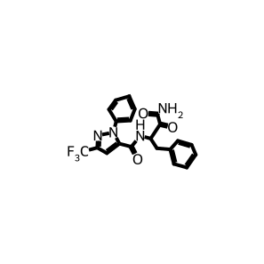 NC(=O)C(=O)C(Cc1ccccc1)NC(=O)c1cc(C(F)(F)F)nn1-c1ccccc1